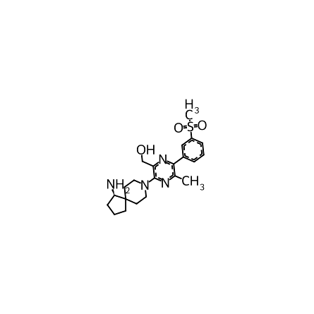 Cc1nc(N2CCC3(CCC[C@H]3N)CC2)c(CO)nc1-c1cccc(S(C)(=O)=O)c1